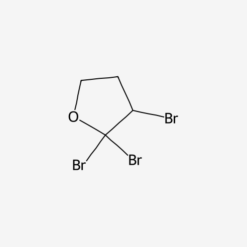 BrC1CCOC1(Br)Br